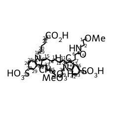 COCCNC(=O)CCC1(C)C(/C=C/C=C/C=C2/N(CCCCCC(=O)O)c3ccc(S(=O)(=O)O)cc3C2(C)CCCS(=O)(=O)O)=[N+](CCOC)c2ccc(S(=O)(=O)O)cc21